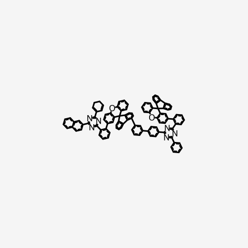 C1=CC(c2nc(-c3ccc4ccccc4c3)nc(-c3ccccc3-c3ccc4c(c3)C3(c5ccccc5O4)c4ccccc4-c4c(-c5cccc(-c6ccc(-c7nc(-c8ccccc8)nc(-c8ccccc8-c8ccc9c(c8)C8(c%10ccccc%10O9)c9ccccc9-c9ccccc98)n7)cc6)c5)cccc43)n2)=CCC1